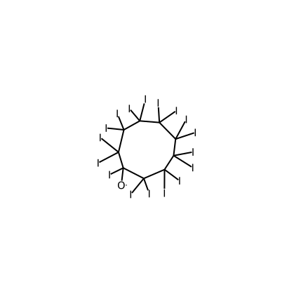 [O]C1(I)C(I)(I)C(I)(I)C(I)(I)C(I)(I)C(I)(I)C(I)(I)C(I)(I)C1(I)I